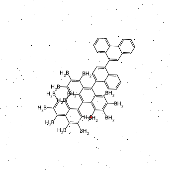 Bc1c(B)c(B)c2c(-c3c4c(B)c(B)c(B)c(B)c4c(-c4ccc(-c5cc6ccccc6c6ccccc56)c5ccccc45)c4c(B)c(B)c(B)c(B)c34)c(B)c(B)c(B)c2c1B